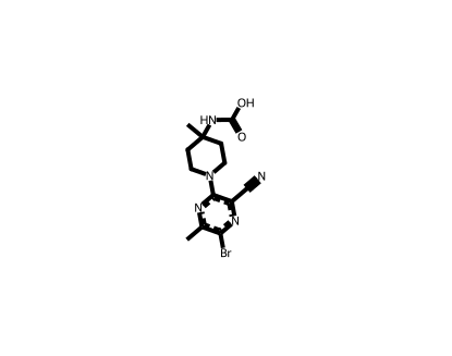 Cc1nc(N2CCC(C)(NC(=O)O)CC2)c(C#N)nc1Br